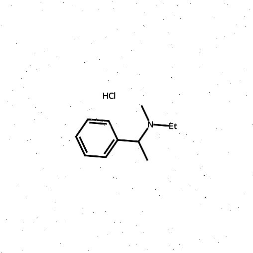 CCN(C)C(C)c1ccccc1.Cl